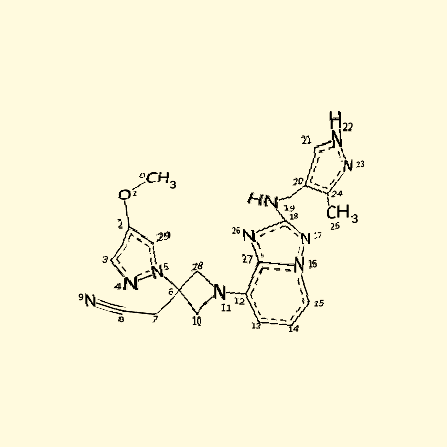 COc1cnn(C2(CC#N)CN(c3cccn4nc(Nc5c[nH]nc5C)nc34)C2)c1